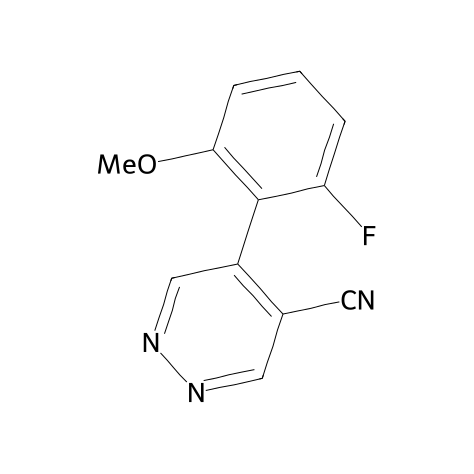 COc1cccc(F)c1-c1cnncc1C#N